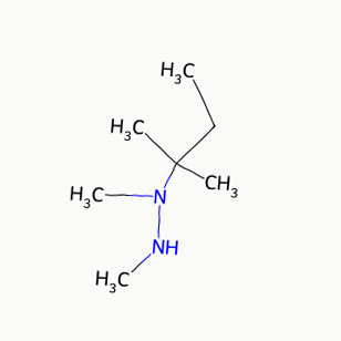 CCC(C)(C)N(C)NC